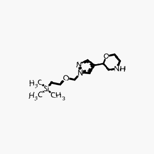 C[Si](C)(C)CCOCn1cc(C2CNCCO2)cn1